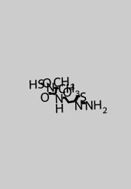 CC1(C)C(NC(=O)Cc2csc(N)n2)C(=O)N1OS